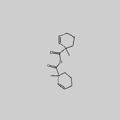 CC1(C(=O)OC(=O)C2(C)C=CCCC2)C=CCCC1